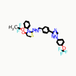 CC(F)(F)Oc1ccccc1N1C(=O)CCS/C1=N\N=C\c1ccc(-c2ncn(-c3ccc(OC(F)(F)F)cc3)n2)cc1